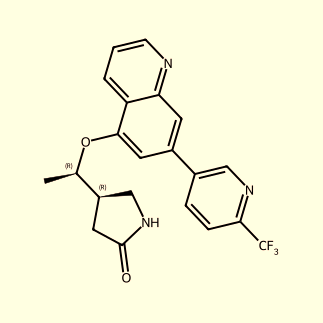 C[C@@H](Oc1cc(-c2ccc(C(F)(F)F)nc2)cc2ncccc12)[C@H]1CNC(=O)C1